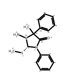 CS[C@H]1N(c2ccccc2)C(=O)C(C)(c2ccccc2)N1N